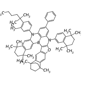 CCCCC(C)(C)c1ccc(N2c3cc4c(cc3B3c5c2cc(-c2ccccc2)cc5N(c2ccc5c(c2)C(C)(C)CCC5(C)C)c2oc5cc6c(cc5c23)C2(C)CCC6(C)CC2)C(C)(C)CCC4(C)C)cc1CC